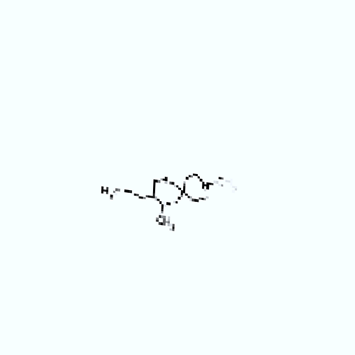 CCCC1COC2(CCN(C)CC2)CC1C